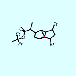 CCC1CC(CC)C2C3CC(CC3C(C)C(=O)OC(C)(CC)CC)C12